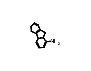 NC1=CC=CC2C3=C(C=CCC3)CC12